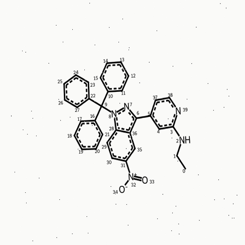 CCNc1cc(-c2nn(C(c3ccccc3)(c3ccccc3)c3ccccc3)c3ccc([N+](=O)[O-])cc23)ccn1